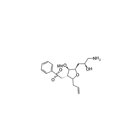 C=CCC1O[C@H](C[C@H](O)CN)[C@H](OC)[C@H]1CS(=O)(=O)c1ccccc1